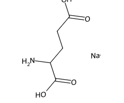 NC(CCC(=O)O)C(=O)O.[Na]